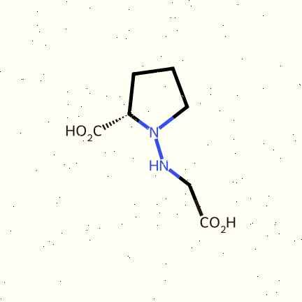 O=C(O)CNN1CCC[C@H]1C(=O)O